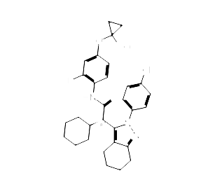 O=C(Nc1ccc(OC2(C(=O)O)CC2)cc1F)[C@@H](c1c2c(nn1-c1ccc(Cl)cc1)CCCC2)C1CCCCC1